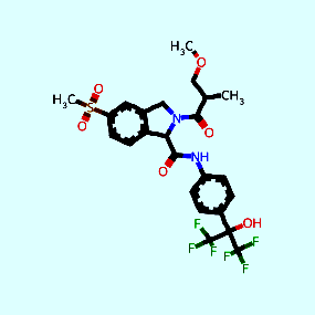 COCC(C)C(=O)N1Cc2cc(S(C)(=O)=O)ccc2C1C(=O)Nc1ccc(C(O)(C(F)(F)F)C(F)(F)F)cc1